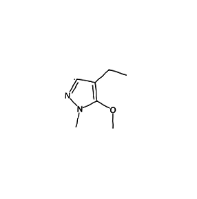 CCc1[c]nn(C)c1OC